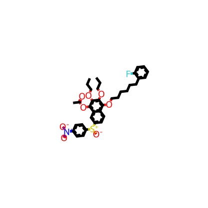 CCCOc1c(OCCC)c(OC(C)=O)c2cc([S+]([O-])c3ccc([N+](=O)[O-])cc3)ccc2c1OCCCCCCc1ccccc1F